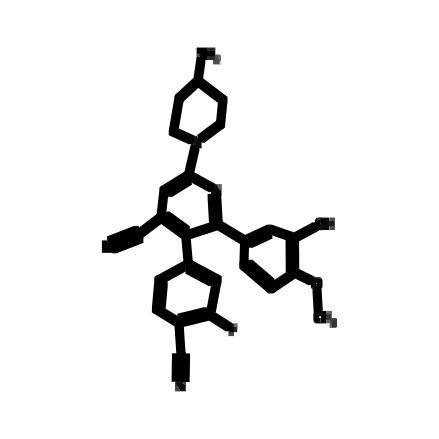 COc1ccc(-c2nc(N3CCC(N)CC3)cc(C#N)c2-c2ccc(C#N)c(F)c2)cc1O